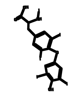 O=C(O)C(Cc1cc(I)c(Oc2cc(I)c(O)c(I)c2)c(I)c1)NI